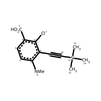 CNc1ccc(C(=O)O)c(Cl)c1C#C[Si](C)(C)C